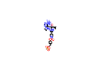 CC(C)n1nc(-c2noc(C3CC3)c2-c2ncc(C3CCN(C(=O)OC4CCC(CCOS(C)(=O)=O)CC4)CC3)cn2)c2c(N)ncnc21